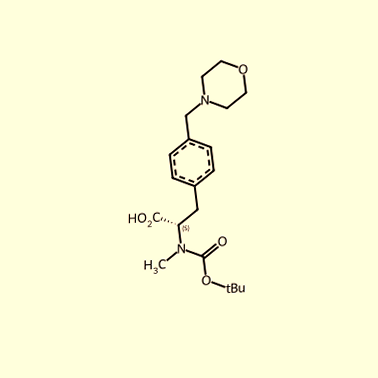 CN(C(=O)OC(C)(C)C)[C@@H](Cc1ccc(CN2CCOCC2)cc1)C(=O)O